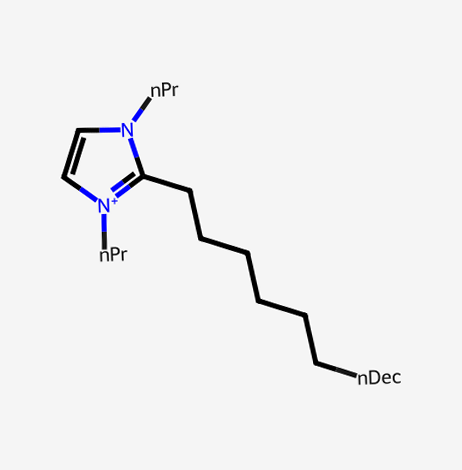 CCCCCCCCCCCCCCCCc1n(CCC)cc[n+]1CCC